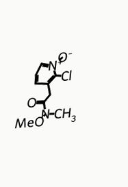 CON(C)C(=O)Cc1ccc[n+]([O-])c1Cl